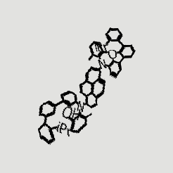 Cc1cccc(C)c1N(c1cccc(-c2cccc(-c3ccccc3C(C)C)c2)c1O)c1ccc2ccc3c(N(c4c(C)cccc4C)c4cccc5c4oc4c(-c6ccccc6C(C)C)cccc45)ccc4ccc1c2c43